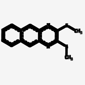 CSc1nc2cc3ccccc3cc2nc1SC